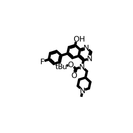 CN1CCC(CN(C(=O)OC(C)(C)C)c2ncnc3c(O)cc(-c4ccc(F)cc4)cc23)CC1